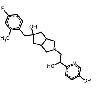 Cc1cc(F)ccc1CC1(O)CC2CN(CC(O)c3ccc(O)cn3)CC2C1